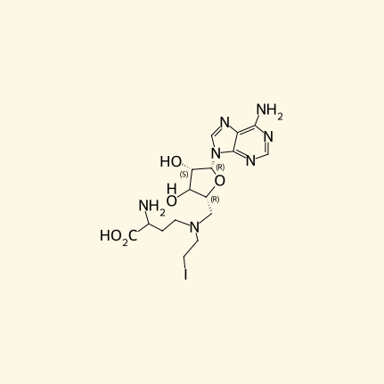 Nc1ncnc2c1ncn2[C@@H]1O[C@H](CN(CCI)CCC(N)C(=O)O)C(O)[C@@H]1O